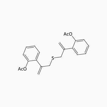 C=C(CSCC(=C)c1ccccc1OC(C)=O)c1ccccc1OC(C)=O